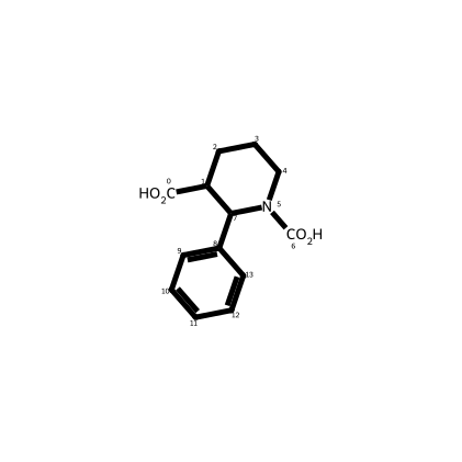 O=C(O)C1CCCN(C(=O)O)C1c1ccccc1